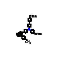 C=Cc1ccc(C23CC4CC(C2)CC(c2ccc(N(c5ccc(CCCCCC)cc5)c5ccc(-c6ccc(CCCCCC)cc6)cc5)cc2)(C4)C3)cc1